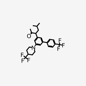 CC(=O)C(CC(C)C)c1cc(-c2ccc(C(F)(F)F)cc2)cc(N2CCC(C(F)(F)F)CC2)c1